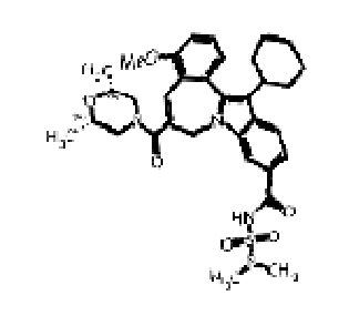 COc1cccc2c1C=C(C(=O)N1C[C@@H](C)O[C@@H](C)C1)Cn1c-2c(C2CCCCC2)c2ccc(C(=O)NS(=O)(=O)N(C)C)cc21